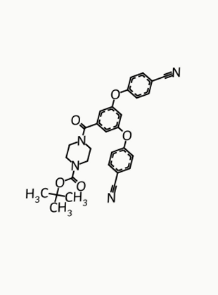 CC(C)(C)OC(=O)N1CCN(C(=O)c2cc(Oc3ccc(C#N)cc3)cc(Oc3ccc(C#N)cc3)c2)CC1